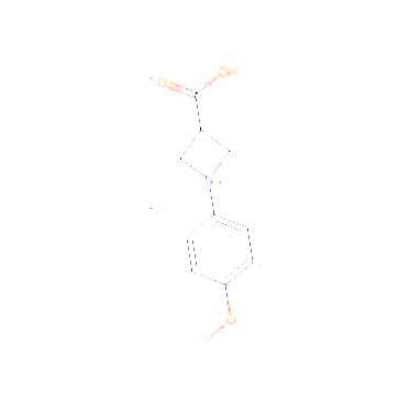 COc1ccc(N2CC(C(=O)O)C2)cc1.[KH]